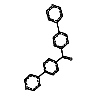 O=C(c1ccc(-c2ccncc2)cc1)c1ccc(-c2ccncc2)cc1